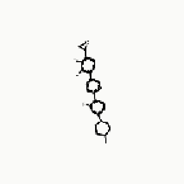 CC1CCC(c2ccc(-c3ccc(-c4ccc(C5CO5)c(F)c4F)cc3)c(F)c2)CC1